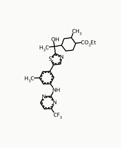 CCOC(=O)C1CCC(C(C)(O)c2ncc(-c3cc(C)cc(Nc4nccc(C(F)(F)F)n4)c3)s2)CC1C